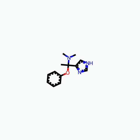 CN(C)C(C)(Oc1ccccc1)c1c[nH]cn1